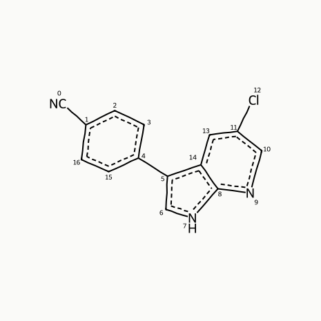 N#Cc1ccc(-c2c[nH]c3ncc(Cl)cc23)cc1